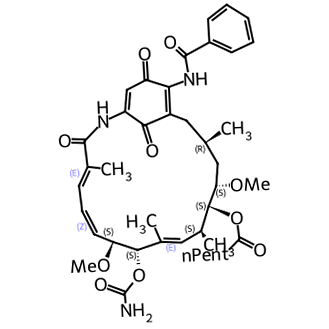 CCCCCC(=O)O[C@@H]1[C@@H](OC)C[C@H](C)CC2=C(NC(=O)c3ccccc3)C(=O)C=C(NC(=O)/C(C)=C/C=C\[C@H](OC)[C@@H](OC(N)=O)/C(C)=C/[C@@H]1C)C2=O